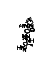 CCN1CCc2nc(-c3ccc(-c4nc(Nc5ccc6[nH]ncc6c5C5CC5)n(C)n4)cc3OC)[nH]c2C1(C)C